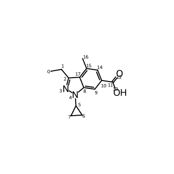 CCc1nn(C2CC2)c2cc(C(=O)O)cc(C)c12